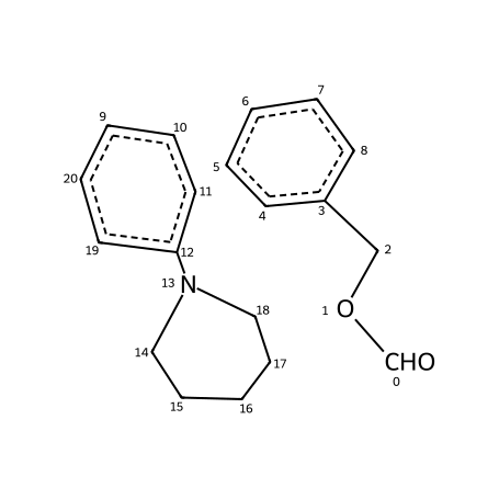 O=COCc1ccccc1.c1ccc(N2CCCCC2)cc1